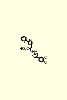 O=C(O)/C(Cn1cc(-c2ccccn2)nn1)=N/Nc1nc(-c2ccc(Cl)c(Cl)c2)cs1